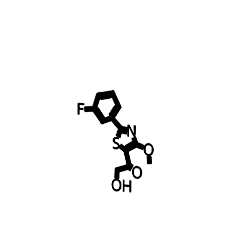 COc1nc(-c2cccc(F)c2)sc1C(=O)CO